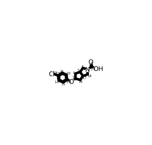 O=C(O)N1CC2CC(Oc3ccc(Cl)cc3)CC2C1